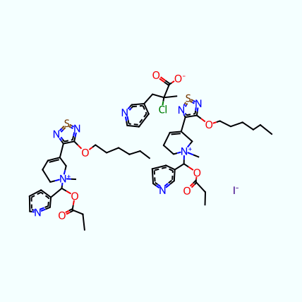 CC(Cl)(Cc1cccnc1)C(=O)[O-].CCCCCCOc1nsnc1C1=CCC[N+](C)(C(OC(=O)CC)c2cccnc2)C1.CCCCCCOc1nsnc1C1=CCC[N+](C)(C(OC(=O)CC)c2cccnc2)C1.[I-]